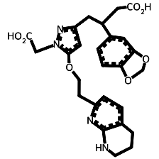 O=C(O)CC(Cc1cc(OCCc2ccc3c(n2)NCCC3)n(CC(=O)O)n1)c1ccc2c(c1)OCO2